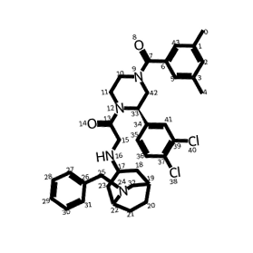 Cc1cc(C)cc(C(=O)N2CCN(C(=O)CNC3CC4CCC(C3)N(Cc3ccccc3)C4)[C@H](c3ccc(Cl)c(Cl)c3)C2)c1